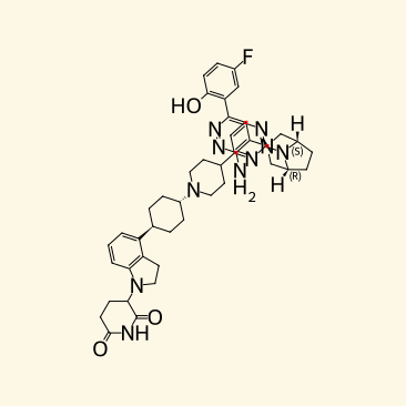 Nc1nnc(-c2cc(F)ccc2O)cc1N1C[C@H]2CC[C@@H](C1)N2c1nccc(C2CCN([C@H]3CC[C@H](c4cccc5c4CCN5C4CCC(=O)NC4=O)CC3)CC2)n1